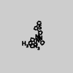 CC1(C)c2ccccc2-c2c(-c3nc(-c4ccccc4)nc(-c4cccc(-c5cccc6c5sc5ccccc56)c4)n3)cccc21